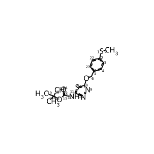 CSc1ccc(COc2nnc(NC(=O)OC(C)(C)C)s2)cc1